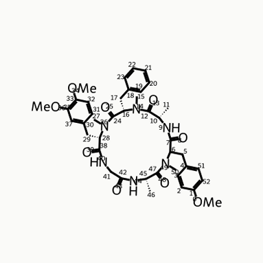 COc1ccc(CC2C(=O)N[C@@H](C)C(=O)N(C)[C@@H](Cc3ccccc3)C(=O)N(C)[C@@H](Cc3ccc(OC)c(OC)c3)C(=O)NCC(=O)N[C@@H](C)C(=O)N2C)cc1